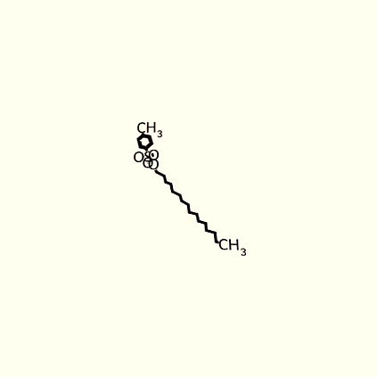 CCCCCCCCCCCCCCCCOOS(=O)(=O)c1ccc(C)cc1